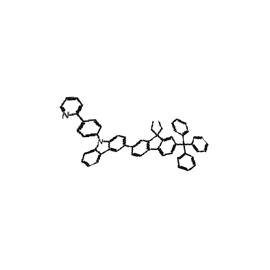 CCC1(CC)c2cc(-c3ccc4c(c3)c3ccccc3n4-c3ccc(-c4ccccn4)cc3)ccc2-c2ccc(C(c3ccccc3)(c3ccccc3)c3ccccc3)cc21